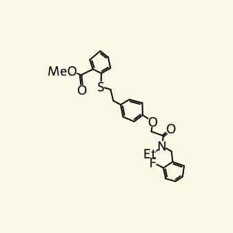 CCN(Cc1ccccc1F)C(=O)COc1ccc(CCSc2ccccc2C(=O)OC)cc1